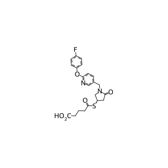 O=C(O)CCCC(=O)S[C@@H]1CC(=O)N(Cc2ccc(Oc3ccc(F)cc3)nc2)C1